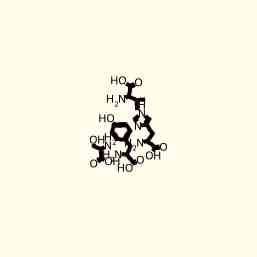 CC(C)C(N)C(=O)O.NC(CO)C(=O)O.NC(Cc1c[nH]cn1)C(=O)O.NC(Cc1ccc(O)cc1)C(=O)O